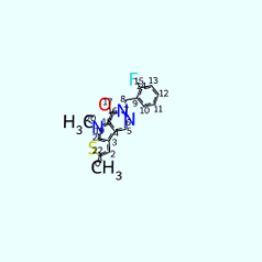 Cc1cc2c3cnn(Cc4ccccc4F)c(=O)c3n(C)c2s1